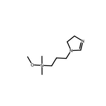 CO[Si](C)(C)CCCN1C=NCC1